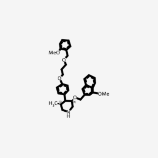 COc1ccccc1COCCCOc1ccc(C2[C@H](C)CNC[C@@H]2OCc2cc(OC)c3ccccc3c2)cc1